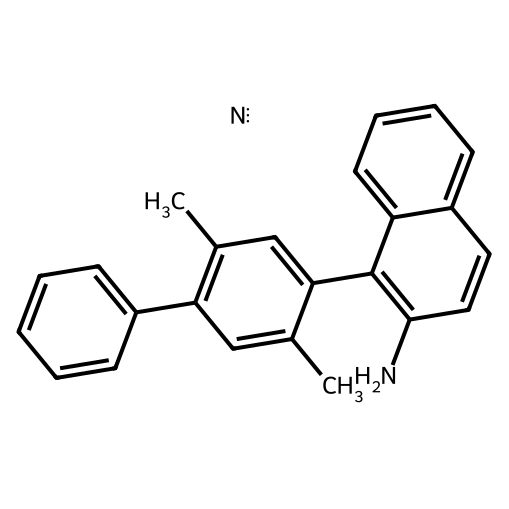 Cc1cc(-c2c(N)ccc3ccccc23)c(C)cc1-c1ccccc1.[N]